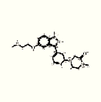 COCCOc1ccc2[nH]nc(C3=CC=NC(N4CCN(C)C(=O)C4)C3)c2c1